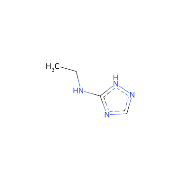 CCNc1ncn[nH]1